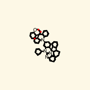 c1ccc(N2c3cc(N4c5ccccc5C5(c6ccccc6Oc6ccccc65)c5ccccc54)ccc3C3(c4ccccc4-c4ccccc43)n3c2nc2ccccc23)cc1